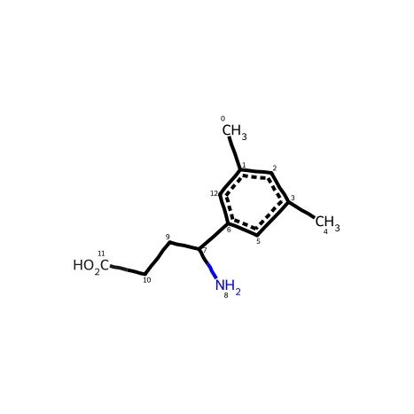 Cc1cc(C)cc(C(N)CCC(=O)O)c1